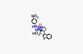 O=C(Nc1ccc([N+](=O)[O-])cc1)N[C@]1(C(=O)O)NCCC1c1csc2ccccc12